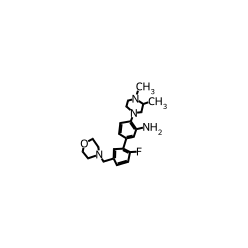 CC1CN(c2ccc(-c3cc(CN4CCOCC4)ccc3F)cc2N)CCN1C